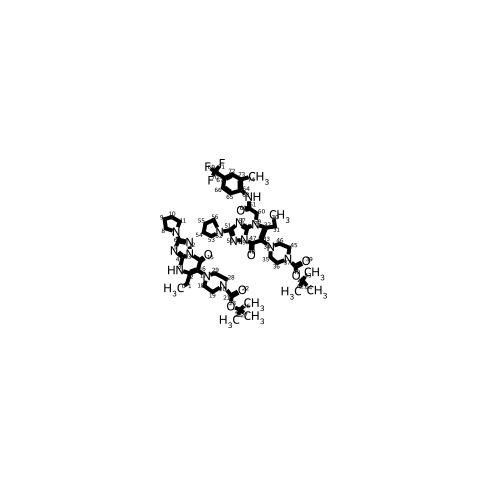 CCc1[nH]c2nc(N3CCCC3)nn2c(=O)c1N1CCN(C(=O)OC(C)(C)C)CC1.CCc1c(N2CCN(C(=O)OC(C)(C)C)CC2)c(=O)n2nc(N3CCCC3)nc2n1CC(=O)Nc1ccc(C(F)(F)F)cc1C